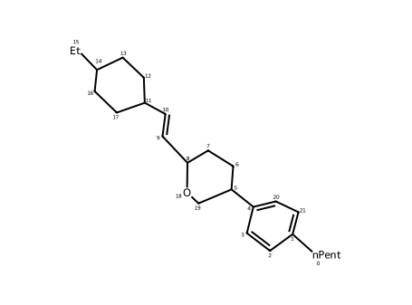 CCCCCc1ccc(C2CCC(/C=C/C3CCC(CC)CC3)OC2)cc1